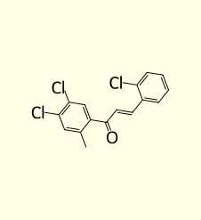 Cc1cc(Cl)c(Cl)cc1C(=O)/C=C/c1ccccc1Cl